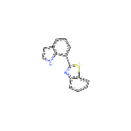 c1cc(-c2nc3ccccc3s2)c2[nH]ccc2c1